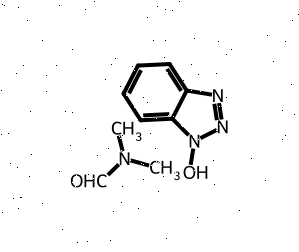 CN(C)C=O.On1nnc2ccccc21